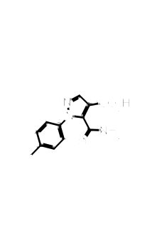 Cc1ccc(-n2ncc(C(=O)O)c2C(N)=O)cc1